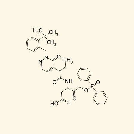 CCC(C(=O)NC(CC(=O)O)C(=O)COP(=O)(c1ccccc1)c1ccccc1)c1ccnn(Cc2ccccc2C(C)(C)C)c1=O